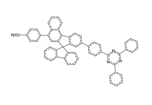 N#Cc1ccc(-c2cc3c(c4ccccc24)-c2ccc(-c4ccc(-c5nc(-c6ccccc6)nc(-c6ccccc6)n5)cc4)cc2C32c3ccccc3-c3ccccc32)cc1